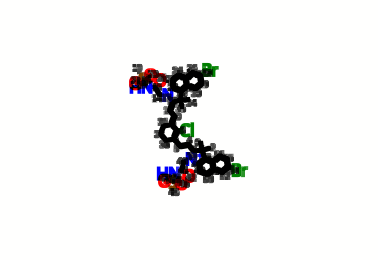 CC1(C)C(/C=C/C2=C(Cl)C(=C/C=C3/N(CC(=O)NS(C)(=O)=O)c4ccc5cc(Br)ccc5c4C3(C)C)/CCC2)=[N+](CC(=O)NS(C)(=O)=O)c2ccc3cc(Br)ccc3c21